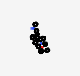 c1ccc(Nc2ccc3cc4c(cc3c2)C2(c3ccccc3-c3ccccc32)c2cc(N(c3ccccc3)c3cccc5c3oc3c(C6CCCCC6)cccc35)c3ccccc3c2-4)cc1